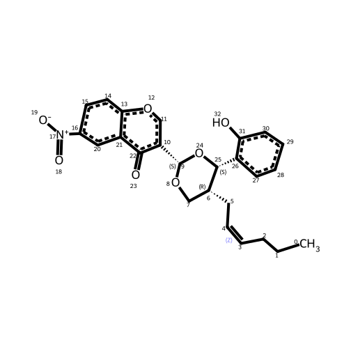 CCC/C=C\C[C@@H]1CO[C@H](c2coc3ccc([N+](=O)[O-])cc3c2=O)O[C@@H]1c1ccccc1O